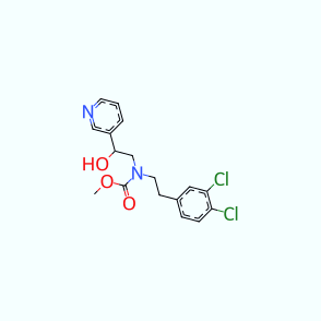 COC(=O)N(CCc1ccc(Cl)c(Cl)c1)CC(O)c1cccnc1